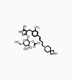 Cc1cc(/C=C/CCN2CCC3(CC2)CNC3)ccc1Cc1c(O[C@@H]2O[C@H](CO)[C@@H](O)[C@H](O)[C@H]2OC(=O)C(F)(F)F)n[nH]c1C(C)C